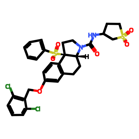 O=C(NC1CCS(=O)(=O)C1)N1CC[C@@]2(S(=O)(=O)c3ccccc3)c3ccc(OCc4c(Cl)cccc4Cl)cc3CC[C@@H]12